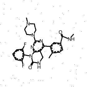 CNC(=O)c1ccc(C)c(-c2nc(N3CCN(C)CC3)nc3c2CNC(=O)N3c2c(F)cccc2F)c1